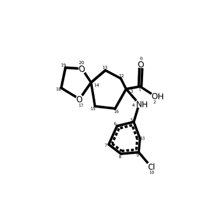 O=C(O)C1(Nc2cccc(Cl)c2)CCC2(CC1)OCCO2